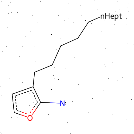 CCCCCCCCCCCCc1ccoc1[N]